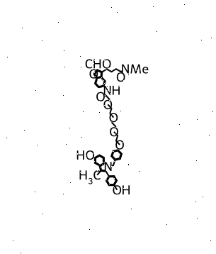 CNC(=O)CCC(C=O)c1coc2ccc(NC(=O)COCCOCCOCCOc3ccc(Cn4c(-c5ccc(O)cc5)c(C)c5cc(O)ccc54)cc3)cc12